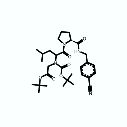 CC(C)CC(C(=O)N1CCC[C@H]1C(=O)NCc1ccc(C#N)cc1)N(CC(=O)OC(C)(C)C)C(=O)OC(C)(C)C